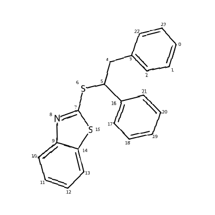 c1ccc(CC(Sc2nc3ccccc3s2)c2ccccc2)cc1